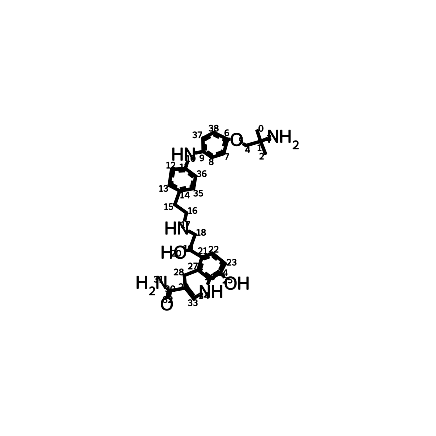 CC(C)(N)COc1ccc(Nc2ccc(CCNCC(O)c3ccc(O)c4c3CC(C(N)=O)=CN4)cc2)cc1